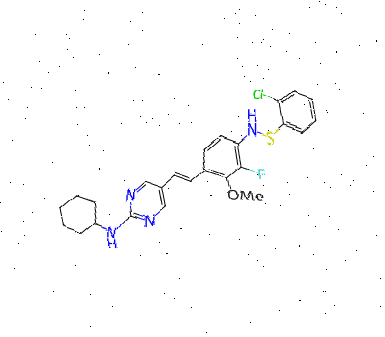 COc1c(/C=C/c2cnc(NC3CCCCC3)nc2)ccc(NSc2ccccc2Cl)c1F